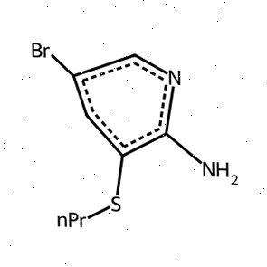 CCCSc1cc(Br)cnc1N